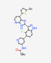 CC(=O)c1ccc(-c2ccnc3[nH]c(-c4n[nH]c5ccc(-c6cncc(NC(=O)C(C)(C)C)c6)c(F)c45)nc23)s1